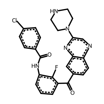 O=C(Nc1cccc(C(=O)c2ccc3ncc(N4CCNCC4)nc3c2)c1F)c1ccc(Cl)cc1